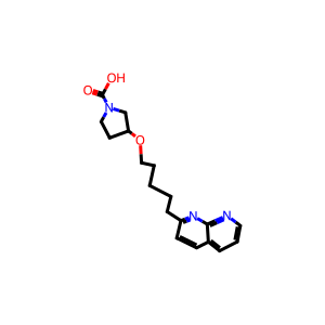 O=C(O)N1CCC(OCCCCCc2ccc3cccnc3n2)C1